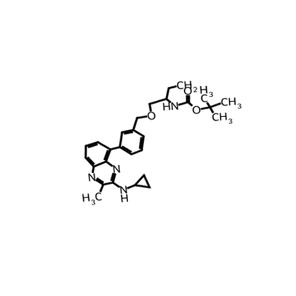 [CH2]CC(COCc1cccc(-c2cccc3nc(C)c(NC4CC4)nc23)c1)NC(=O)OC(C)(C)C